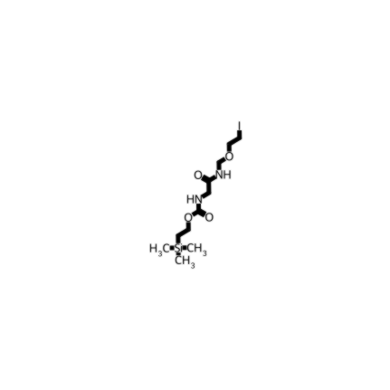 C[Si](C)(C)CCOC(=O)NCC(=O)NCOCCI